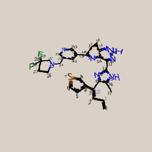 C=C/C=C(/c1ccsc1)c1nc(-c2n[nH]c3ccc(-c4cncc(CN5CCC(F)(F)C5)c4)nc23)[nH]c1C